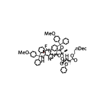 C#C[C@]1(COP(=O)(N[C@@H](C)C(=O)OCCCCCCCCCCCC)Oc2ccccc2)O[C@@H](n2cnc3c(NC(c4ccccc4)(c4ccccc4)c4ccc(OC)cc4)nc(F)nc32)C[C@@H]1OC(c1ccccc1)(c1ccccc1)c1ccc(OC)cc1